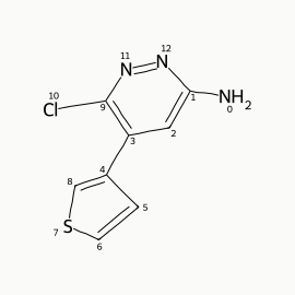 Nc1cc(-c2ccsc2)c(Cl)nn1